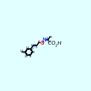 C/C(=N/OC/C=C/c1cccc(C)c1)C(=O)O